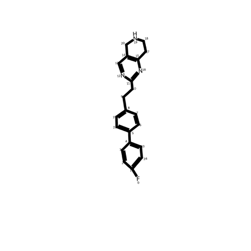 Fc1ccc(-c2ccc(CCc3ncc4c(n3)CCNC4)cc2)cc1